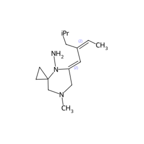 C/C=C(\C=C1\CN(C)CC2(CC2)N1N)CC(C)C